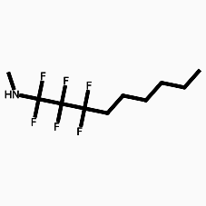 CCCCCCC(F)(F)C(F)(F)C(F)(F)NC